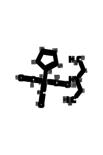 CCNCC.O=[C]=[Mn](=[C]=O)(=[C]=O)[C]1=CC=CC1